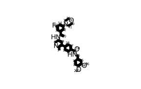 C=C(Nc1cnc(C)c(-c2ccc(C(=O)NCc3ccc(OC)c(OC)c3)cc2)c1)c1cc(F)cc(N2CCOCC2)c1